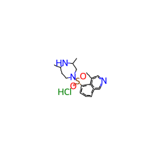 Cc1cncc2cccc(S(=O)(=O)N3CCC(C)NC(C)C3)c12.Cl